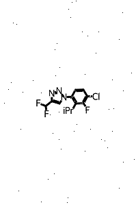 CC(C)c1c(-n2cc(C(F)F)nn2)ccc(Cl)c1F